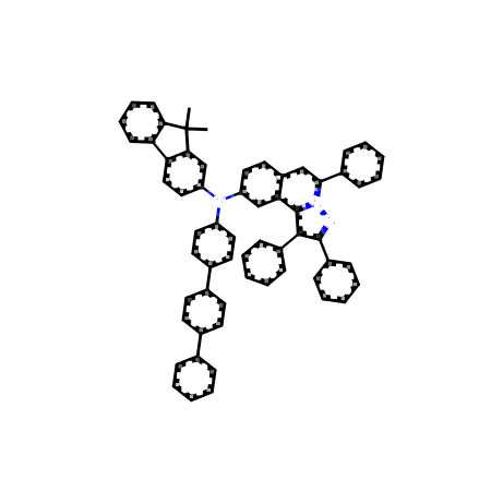 CC1(C)c2ccccc2-c2ccc(N(c3ccc(-c4ccc(-c5ccccc5)cc4)cc3)c3ccc4cc(-c5ccccc5)n5nc(-c6ccccc6)c(-c6ccccc6)c5c4c3)cc21